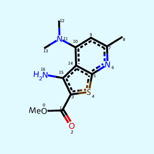 COC(=O)c1sc2nc(C)cc(N(C)C)c2c1N